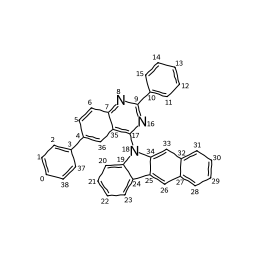 c1ccc(-c2ccc3nc(-c4ccccc4)nc(-n4c5ccccc5c5cc6ccccc6cc54)c3c2)cc1